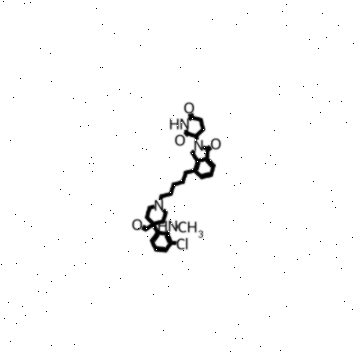 CNc1c(Cl)cccc1C1(C=O)CCN(CCCCCc2cccc3c2CN(C2CCC(=O)NC2=O)C3=O)CC1